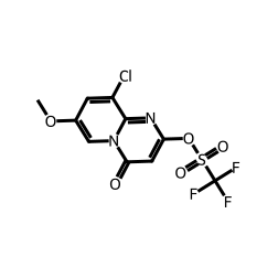 COc1cc(Cl)c2nc(OS(=O)(=O)C(F)(F)F)cc(=O)n2c1